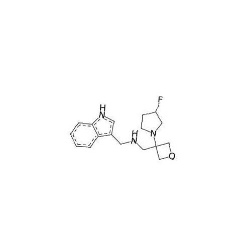 FC1CCN(C2(CNCc3c[nH]c4ccccc34)COC2)C1